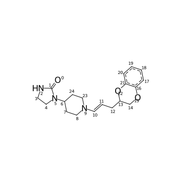 O=C1NCCN1C1CCN(C=CCC2COc3ccccc3O2)CC1